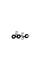 O=C(Nc1ccc2c(c1)[nH]c1ccccc12)c1ccncc1